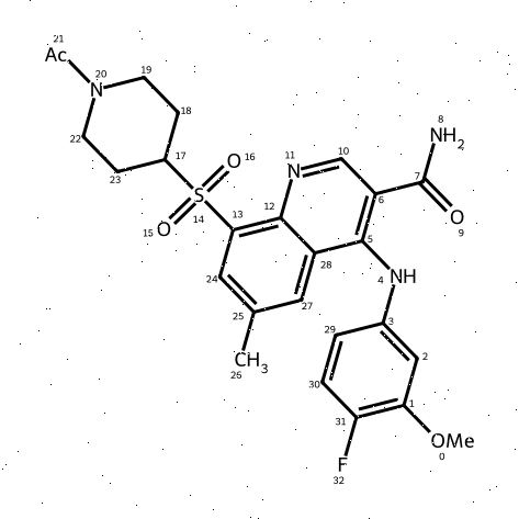 COc1cc(Nc2c(C(N)=O)cnc3c(S(=O)(=O)C4CCN(C(C)=O)CC4)cc(C)cc23)ccc1F